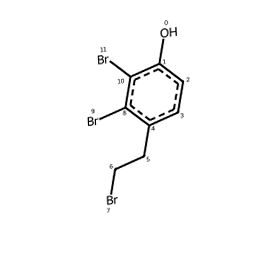 Oc1ccc(CCBr)c(Br)c1Br